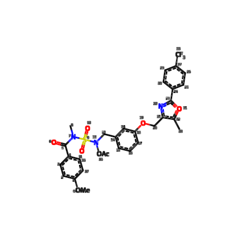 COc1ccc(C(=O)N(C)S(=O)(=O)N(Cc2cccc(OCc3nc(-c4ccc(C(F)(F)F)cc4)oc3C)c2)OC(C)=O)cc1